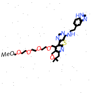 COCOCCOCCOCCOCc1c2c(nc3sc4c(NCCc5ccc6[nH]cnc6c5)ncnc4c13)CC(C)(C)OC2